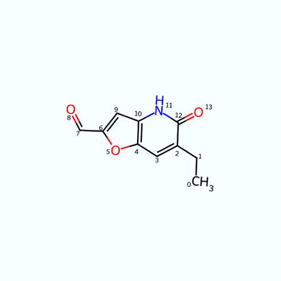 CCc1cc2oc(C=O)cc2[nH]c1=O